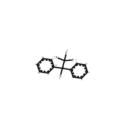 FC(F)(F)C([S])(c1ccccc1)c1ccccc1